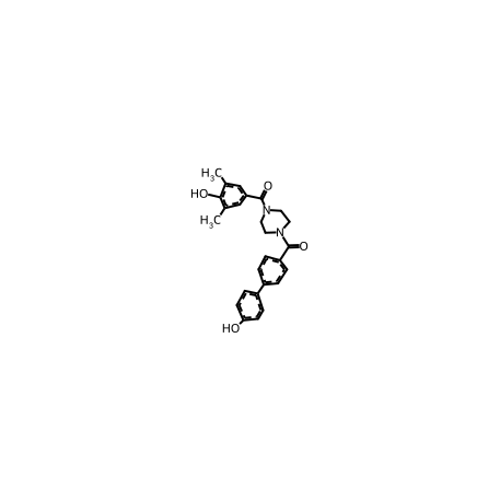 Cc1cc(C(=O)N2CCN(C(=O)c3ccc(-c4ccc(O)cc4)cc3)CC2)cc(C)c1O